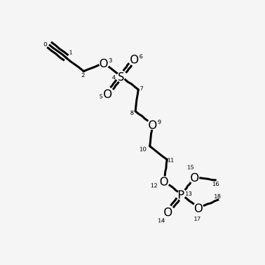 C#CCOS(=O)(=O)CCOCCOP(=O)(OC)OC